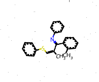 CC(=CSc1ccccc1)C(=Nc1ccccc1)c1ccccc1C